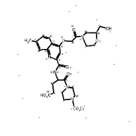 CCOC(=O)N1CCN(C(=O)C(CCC(=O)O)NC(=O)c2cc(OCC(=O)N3CCOC(CO)C3)c3ccc(C)cc3n2)CC1